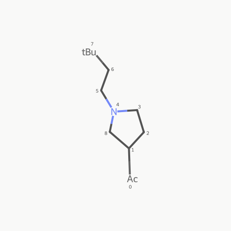 CC(=O)C1CCN(CCC(C)(C)C)C1